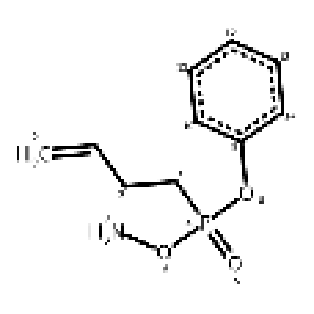 C=CCCP(=O)(ON)Oc1ccccc1